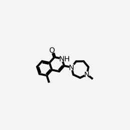 Cc1cccc2c(=O)[nH]c(N3CCCN(C)CC3)cc12